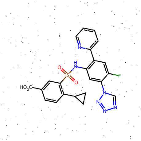 O=C(O)c1ccc(C2CC2)c(S(=O)(=O)Nc2cc(-n3cnnn3)c(F)cc2-c2ccccn2)c1